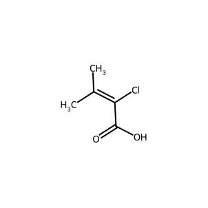 CC(C)=C(Cl)C(=O)O